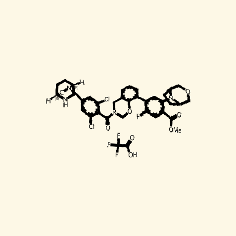 COC(=O)c1cc(F)c(-c2cccc3c2OCN(C(=O)c2c(Cl)cc(N4C[C@H]5CC[C@@H]4CN5)cc2Cl)C3)cc1N1C2CCC1COC2.O=C(O)C(F)(F)F